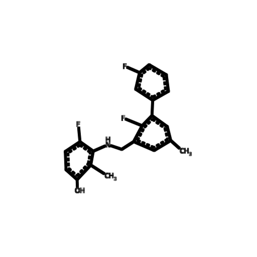 Cc1cc(CNc2c(F)ccc(O)c2C)c(F)c(-c2cccc(F)c2)c1